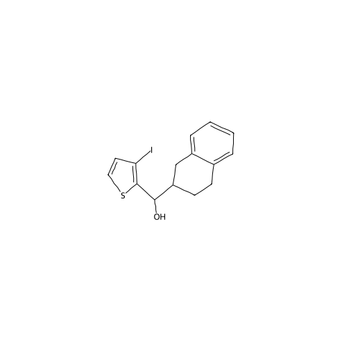 OC(c1sccc1I)C1CCc2ccccc2C1